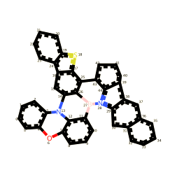 c1ccc2c(c1)Oc1cccc3c1N2c1cc2c(sc4ccccc42)c2c1B3n1c3cc4ccccc4cc3c3cccc-2c31